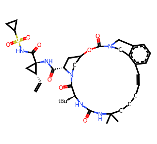 C=C[C@@H]1C[C@]1(NC(=O)[C@@H]1CC2CN1C(=O)[C@H](C(C)(C)C)NC(=O)NC(C)(C)CCC/C=C\c1cccc3c1CN(C3)C(=O)O2)C(=O)NS(=O)(=O)C1CC1